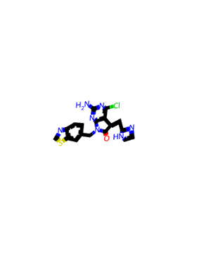 Nc1nc(Cl)c2c(n1)N(Cc1ccc3ncsc3c1)C(=O)/C2=C\c1ncc[nH]1